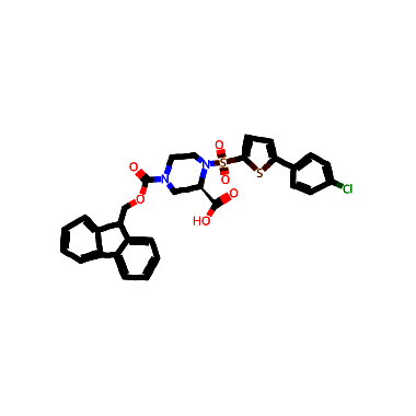 O=C(O)[C@H]1CN(C(=O)OCC2c3ccccc3-c3ccccc32)CCN1S(=O)(=O)c1ccc(-c2ccc(Cl)cc2)s1